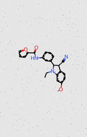 CCN1c2cc(OC)ccc2C(C#N)C1c1cccc(NC(=O)c2ccco2)c1